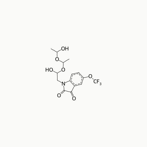 CC(O)OC(C)OC(O)CN1C(=O)C(=O)c2cc(OC(F)(F)F)ccc21